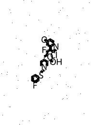 COc1ccc2ncc(Cl)c([C@@H](F)CC[C@H]3CCN(CCSc4cccc(F)c4)C[C@H]3C(=O)O)c2c1